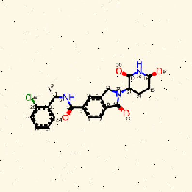 C[C@H](NC(=O)c1ccc2c(c1)CN(C1CCC(=O)NC1=O)C2=O)c1ccccc1Cl